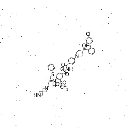 O=C(NS(=O)(=O)c1ccc(N[C@H](CCN2CC3(CNC3)C2)CSc2ccccc2)c(S(=O)(=O)C(F)(F)F)c1)c1ccc(N2CCC([C@@H](O)c3ccccc3-c3ccc(Cl)cc3)CC2)cc1